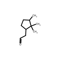 CC1CCC(CC=O)C1(C)C